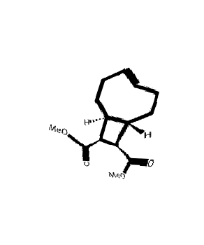 COC(=O)[C@@H]1[C@H]2CC/C=C/CC[C@@H]2[C@@H]1C(=O)OC